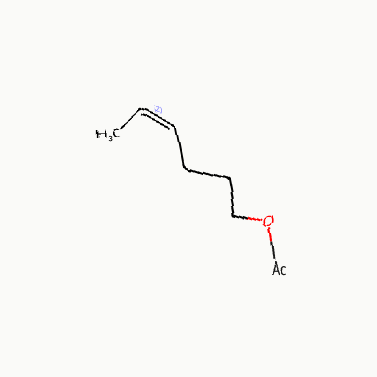 C/C=C\CCCOC(C)=O